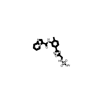 CCCS(=O)(=O)NCc1nc(-c2ccc(C)c(NC(=O)c3cnc4ccccn34)c2)no1